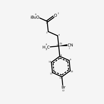 CC(C)COC(=O)CC[C@](C)(C#N)c1ccc(Br)cc1